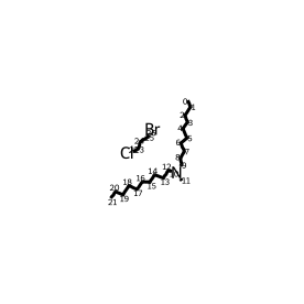 CCCCCCCCCCN(C)CCCCCCCCCC.ClCCCBr